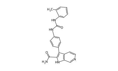 Cc1ccccc1NC(=O)Nc1ccc(-c2c(C(N)=O)[nH]c3cnccc23)cc1